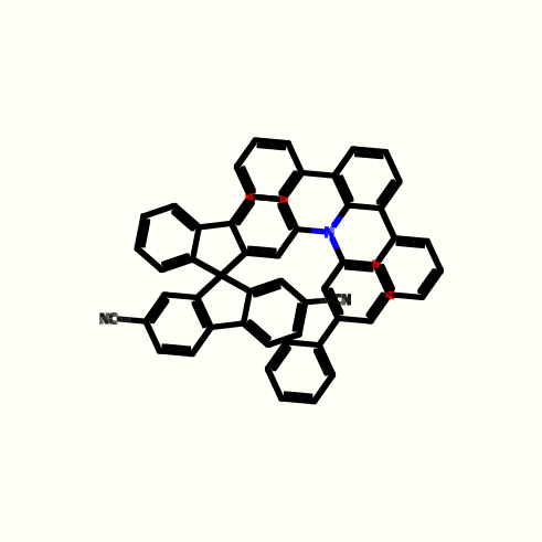 N#Cc1ccc2c(c1)C1(c3ccccc3-c3ccc(N(c4cccc(-c5ccccc5)c4)c4c(-c5ccccc5)cccc4-c4ccccc4)cc31)c1cc(C#N)ccc1-2